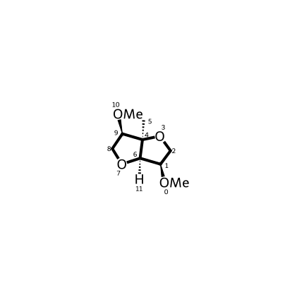 CO[C@@H]1CO[C@@]2(C)[C@@H]1OC[C@H]2OC